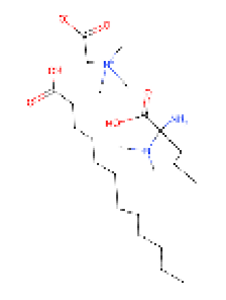 CCCC(N)(C(=O)O)N(C)C.CCCCCCCCCCCC(=O)O.C[N+](C)(C)CC(=O)[O-]